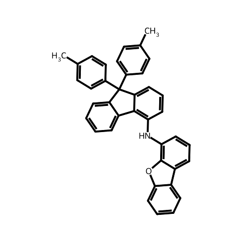 Cc1ccc(C2(c3ccc(C)cc3)c3ccccc3-c3c(Nc4cccc5c4oc4ccccc45)cccc32)cc1